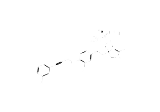 CC1=NC(CCc2ccc(OCC#Cc3cccc(C)c3)c(C(F)(F)F)c2)(COP(=O)(C(C)(C)C)C(C)(C)C)CO1